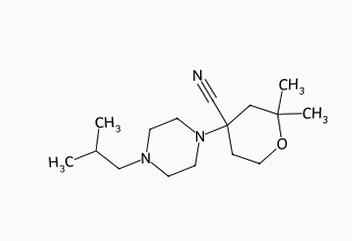 CC(C)CN1CCN(C2(C#N)CCOC(C)(C)C2)CC1